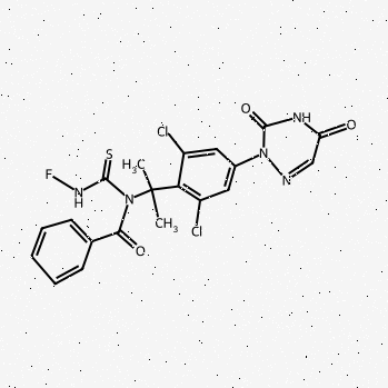 CC(C)(c1c(Cl)cc(-n2ncc(=O)[nH]c2=O)cc1Cl)N(C(=O)c1ccccc1)C(=S)NF